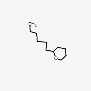 CCCCCCC1CCCCO1